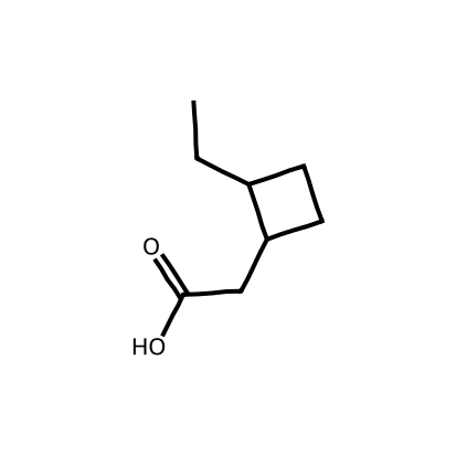 CCC1CCC1CC(=O)O